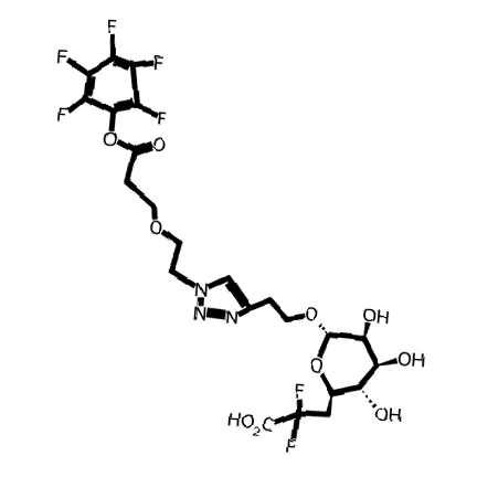 O=C(CCOCCn1cc(CCO[C@H]2O[C@H](CC(F)(F)C(=O)O)[C@@H](O)[C@H](O)[C@@H]2O)nn1)Oc1c(F)c(F)c(F)c(F)c1F